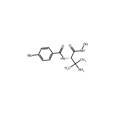 CC(C)(C)c1ccc(C(=O)N[C@H](C(=O)NO)C(C)(C)N)cc1